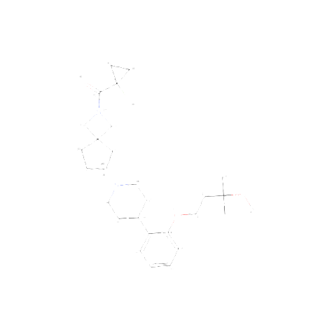 COC(C)(C)CCOc1ccccc1C1CCN([C@@H]2CCC3(C2)CN(C(=O)C2(F)CC2)C3)CC1